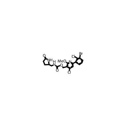 COc1nc(-c2cccc(Br)c2Cl)cc(Cl)c1COC(=O)NCC1CCC(=O)N1